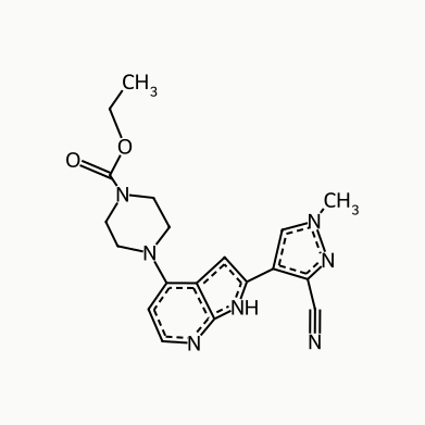 CCOC(=O)N1CCN(c2ccnc3[nH]c(-c4cn(C)nc4C#N)cc23)CC1